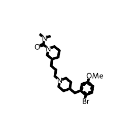 COc1ccc(Br)c(CC2CCN(CCCC3CCCN(C(=O)N(C)C)C3)CC2)c1